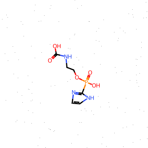 O=C(O)NCCOP(=O)(O)c1ncc[nH]1